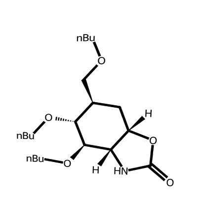 CCCCOC[C@H]1C[C@@H]2OC(=O)N[C@@H]2[C@@H](OCCCC)[C@@H]1OCCCC